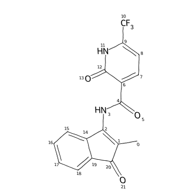 CC1=C(NC(=O)c2ccc(C(F)(F)F)[nH]c2=O)c2ccccc2C1=O